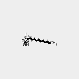 CC=CCCC=CCCC=CC(C)OC(=O)O